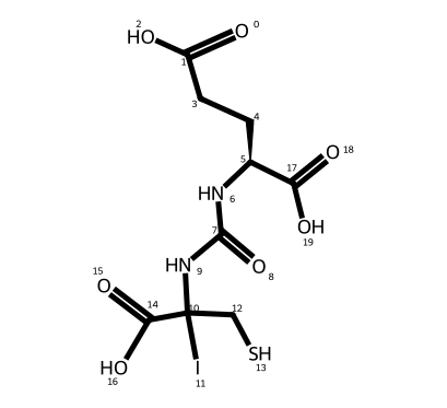 O=C(O)CC[C@H](NC(=O)NC(I)(CS)C(=O)O)C(=O)O